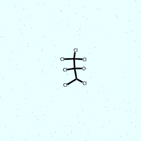 [O]C(Cl)(C(Cl)Cl)C(Cl)(Cl)Cl